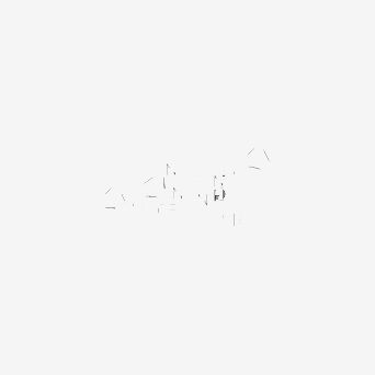 CC(C)(C)OC(=O)N1CCN(c2c([N+](=O)[O-])ccc(Oc3ccccc3)c2C(F)(F)F)C[C@@H]1CNOCc1ccccc1